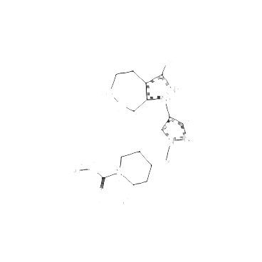 C[C@@H]1C[C@H](Cn2cc(-n3nc(Br)c4c3CCOCC4)cn2)C[C@H](C)N1C(=O)OC(C)(C)C